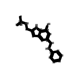 C[SiH](C)OCc1cc2cc(COc3ccccc3)cc(I)c2o1